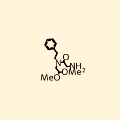 COC(CN(CCc1ccccc1)C(=O)CN)OC